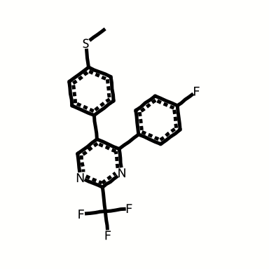 CSc1ccc(-c2cnc(C(F)(F)F)nc2-c2ccc(F)cc2)cc1